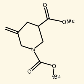 C=C1CC(C(=O)OC)CN(C(=O)OC(C)(C)C)C1